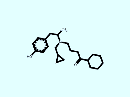 CC(Cc1ccc(O)cc1)N(CCCC(=O)C1CCCCC1)CC1CC1